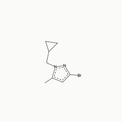 Cc1cc(Br)nn1CC1CC1